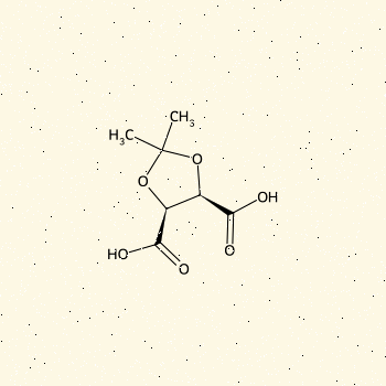 CC1(C)O[C@H](C(=O)O)[C@H](C(=O)O)O1